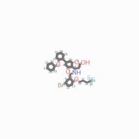 O=C(O)CC(NC(=O)c1cc(Br)ccc1OCCCC(F)(F)F)c1ccc(-c2ccccc2Oc2ccccc2)cc1